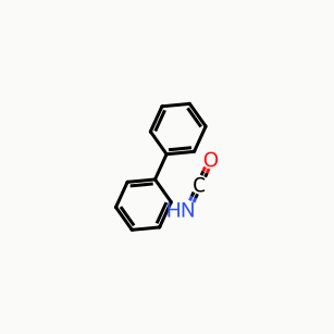 N=C=O.c1ccc(-c2ccccc2)cc1